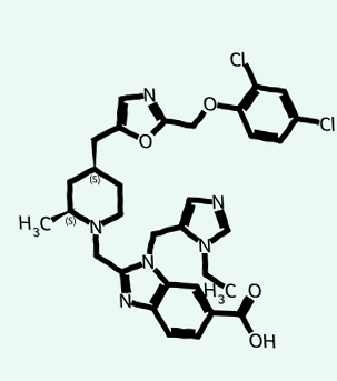 CCn1cncc1Cn1c(CN2CC[C@H](Cc3cnc(COc4ccc(Cl)cc4Cl)o3)C[C@@H]2C)nc2ccc(C(=O)O)cc21